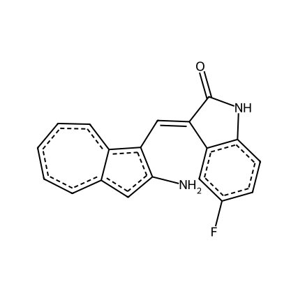 Nc1cc2cccccc-2c1/C=C1/C(=O)Nc2ccc(F)cc21